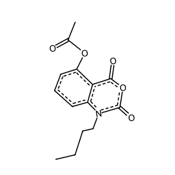 CCCCn1c(=O)oc(=O)c2c(OC(C)=O)cccc21